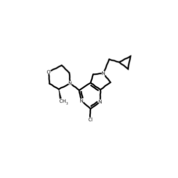 C[C@H]1COCCN1c1nc(Cl)nc2c1CN(CC1CC1)C2